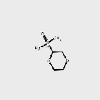 C[SH](C)(=O)C1COCCO1